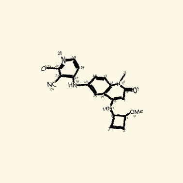 COC1CCC1Nc1cc(=O)n(C)c2ccc(Nc3ccnc(Cl)c3C#N)cc12